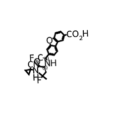 CC(C)(F)C[C@H](N[C@@H](c1ccc2c(c1)oc1ccc(C(=O)O)cc12)C(F)(F)F)C(=O)NC1(C#N)CC1